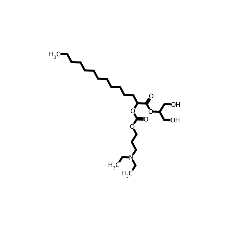 CCCCCCCCCCCCC(OC(=O)OCCCN(CC)CC)C(=O)OC(CO)CO